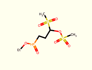 CCO[PH](=O)CCC(OS(C)(=O)=O)S(C)(=O)=O